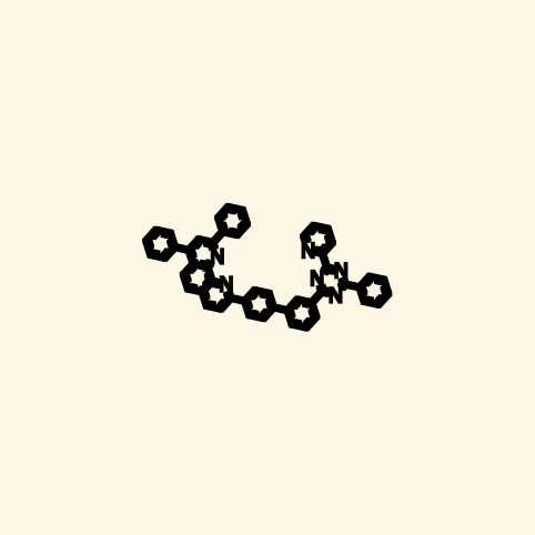 c1ccc(-c2cc(-c3ccccc3)c3ccc4ccc(-c5ccc(-c6cccc(-c7nc(-c8ccccc8)nc(-c8ccccn8)n7)c6)cc5)nc4c3n2)cc1